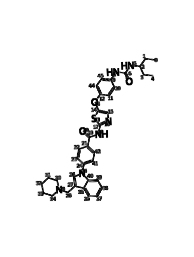 CCC(CC)NC(=O)Nc1ccc(Oc2cnc(NC(=O)c3ccc(-n4cc(CN5CCCCC5)c5ccccc54)cc3)s2)cc1